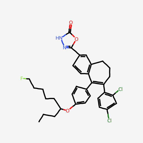 CCCC(CCCCCF)Oc1ccc(C2=C(c3ccc(Cl)cc3Cl)CCCc3cc(-c4n[nH]c(=O)o4)ccc32)cc1